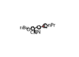 CCCCOc1ccc(-c2ccc(C34CCC(CCC)(CC3)CC4)cc2)c(C#N)c1C#N